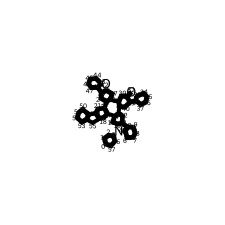 c1ccc(-n2c3ccccc3c3cc4c(cc32)-c2cc3c(cc2-c2cc5c(cc2-c2cc6oc7ccccc7c6cc2-4)oc2ccccc25)-c2ccccc2C3)cc1